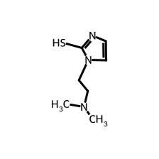 CN(C)CCn1ccnc1S